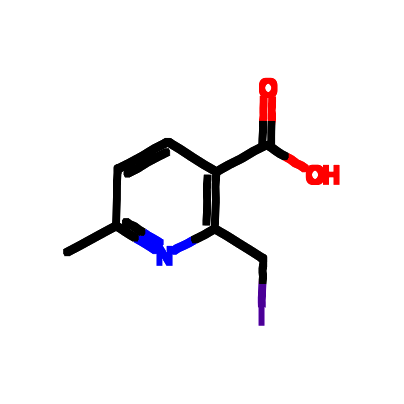 Cc1ccc(C(=O)O)c(CI)n1